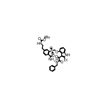 CCc1[nH]c2cccc(OCS(=O)(=O)c3cc(CCNC(=O)OC(C)(C)C)ccc3C(N)=O)c2c1C(=O)C(=O)NCc1ccccc1